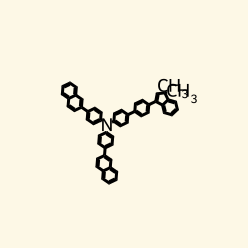 CC1(C)C=C(c2ccc(-c3ccc(N(c4ccc(-c5ccc6ccccc6c5)cc4)c4ccc(-c5ccc6ccccc6c5)cc4)cc3)cc2)c2ccccc21